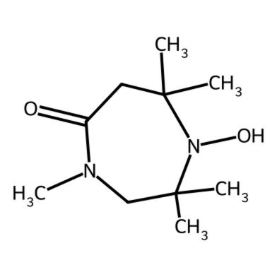 CN1CC(C)(C)N(O)C(C)(C)CC1=O